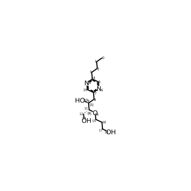 CCCCc1cnc(C[C@H](O)[C@@H](CO)OCCCO)cn1